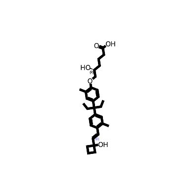 CCC(CC)(c1ccc(/C=C/C2(O)CCC2)c(C)c1)c1ccc(OC[C@H](O)CCCC(=O)O)c(C)c1